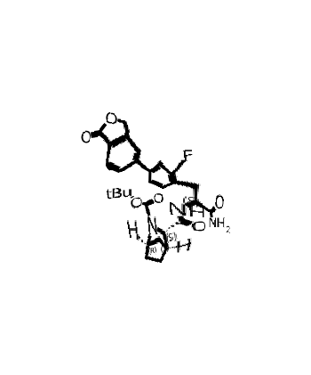 CC(C)(C)OC(=O)N1[C@@H]2CC[C@@H](C2)[C@H]1C(=O)N[C@@H](Cc1ccc(-c2ccc3c(c2)COC3=O)cc1F)C(N)=O